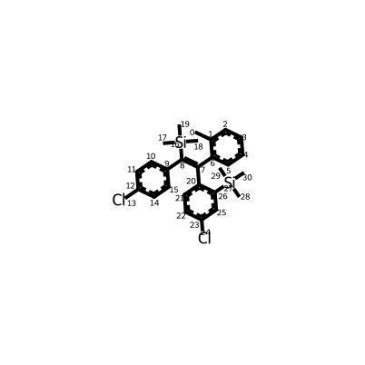 Cc1ccccc1C(=C(c1ccc(Cl)cc1)[Si](C)(C)C)c1ccc(Cl)cc1[Si](C)(C)C